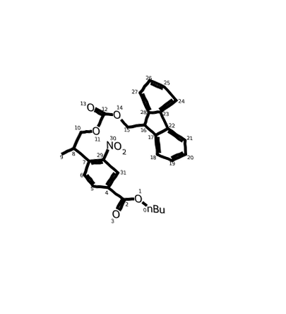 CCCCOC(=O)c1ccc(C(C)COC(=O)OCC2c3ccccc3-c3ccccc32)c([N+](=O)[O-])c1